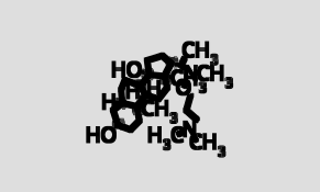 CC([C@H]1CC[C@]2(O)[C@@H]3CC[C@@H]4C[C@@H](O)CC[C@]4(C)[C@H]3CC[C@]12C)N(C)OCCCN(C)C